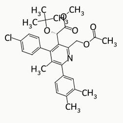 COC(=O)[C@@H](OC(C)(C)C)c1c(COC(C)=O)nc(-c2ccc(C)c(C)c2)c(C)c1-c1ccc(Cl)cc1